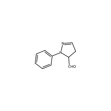 O=CC1CC=NN1c1ccccc1